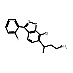 CC(CCN)c1ccc2c(-c3ccccc3F)noc2c1Cl